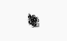 Cc1csc(-c2c3c(=O)n(C)c(=O)n(C)c3c3n2CCC[C@H]3c2nc(Cl)cs2)n1